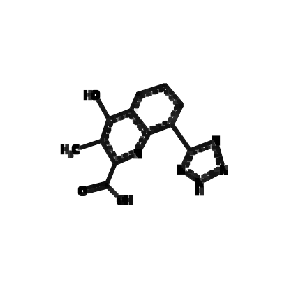 Cc1c(C(=O)O)nc2c(-c3nn[nH]n3)cccc2c1O